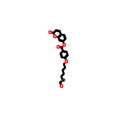 O=C[Si]CCCCCOc1ccc(C(=O)Oc2ccc3ccc(=O)oc3c2)cc1